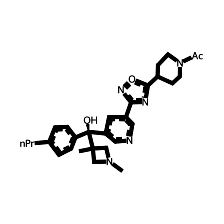 CCCc1ccc([C@](O)(c2cncc(-c3noc(C4CCN(C(C)=O)CC4)n3)c2)C2(C)CN(C)C2)cc1